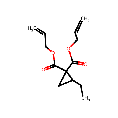 C=CCOC(=O)C1(C(=O)OCC=C)CC1CC